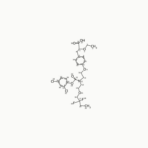 CCOC(Cc1ccc(OCCN(CCOCC(F)(F)CC)C(=O)Oc2ccc(Cl)cc2Cl)cc1)C(=O)O